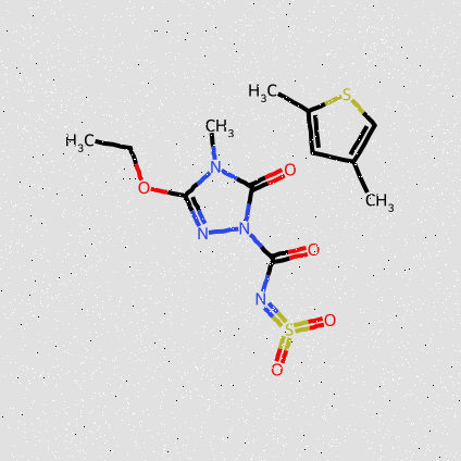 CCOc1nn(C(=O)N=S(=O)=O)c(=O)n1C.Cc1csc(C)c1